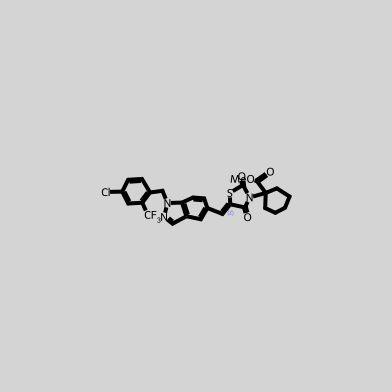 COC(=O)C1(N2C(=O)S/C(=C\c3ccc4c(cnn4Cc4ccc(Cl)cc4C(F)(F)F)c3)C2=O)CCCCC1